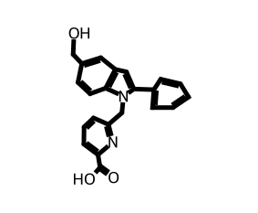 O=C(O)c1cccc(Cn2c(-c3ccccc3)cc3cc(CO)ccc32)n1